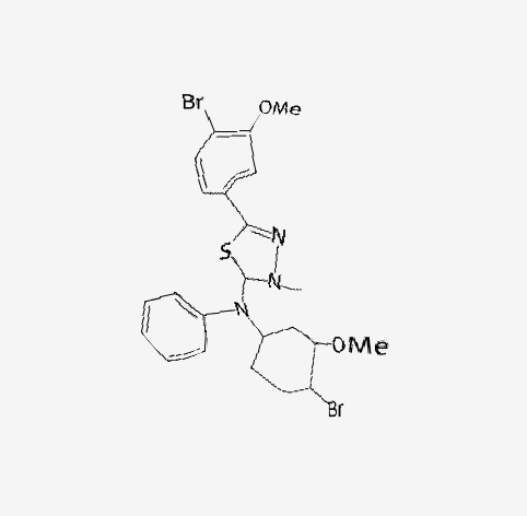 COc1cc(C2=NN(C)C(N(c3ccccc3)C3CCC(Br)C(OC)C3)S2)ccc1Br